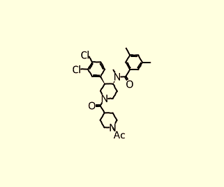 CC(=O)N1CCC(C(=O)N2CC[C@@H](N(C)C(=O)c3cc(C)cc(C)c3)[C@H](c3ccc(Cl)c(Cl)c3)C2)CC1